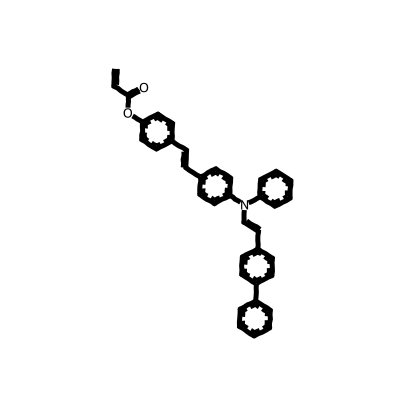 C=CC(=O)Oc1ccc(C=Cc2ccc(N(/C=C/c3ccc(-c4ccccc4)cc3)c3ccccc3)cc2)cc1